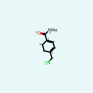 CNC(=O)C1=CC=C(CCl)CC1